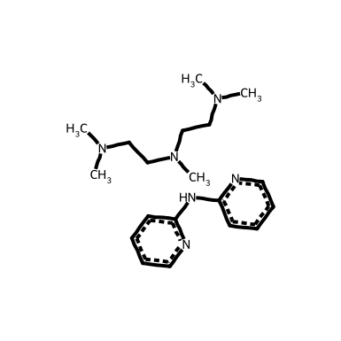 CN(C)CCN(C)CCN(C)C.c1ccc(Nc2ccccn2)nc1